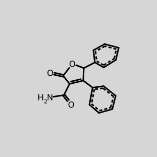 NC(=O)C1=C(c2ccccc2)C(c2ccccc2)OC1=O